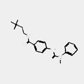 CN(C(=O)Oc1ccc(C(=O)NCCC(C)(C)C)cc1)c1ccccc1